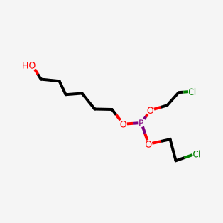 OCCCCCCOP(OCCCl)OCCCl